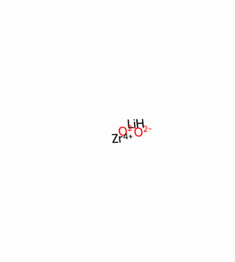 [LiH].[O-2].[O-2].[Zr+4]